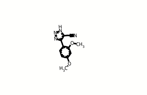 COc1ccc(-c2nn[nH]c2C#N)c(OC)c1